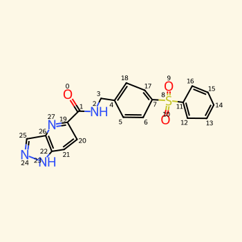 O=C(NCc1ccc(S(=O)(=O)c2ccccc2)cc1)c1ccc2[nH]ncc2n1